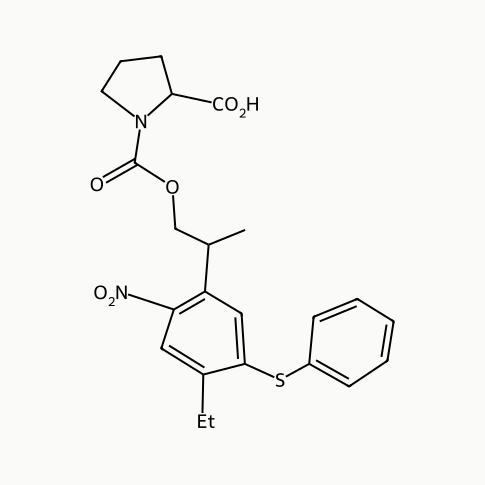 CCc1cc([N+](=O)[O-])c(C(C)COC(=O)N2CCCC2C(=O)O)cc1Sc1ccccc1